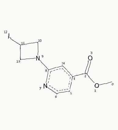 COC(=O)c1ccnc(N2CC(I)C2)c1